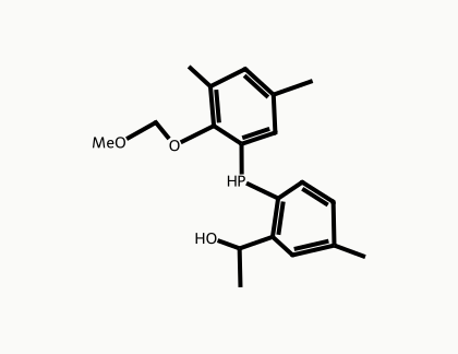 COCOc1c(C)cc(C)cc1Pc1ccc(C)cc1C(C)O